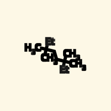 [CH2]CC(C)(C)CCC(C)(C)CC